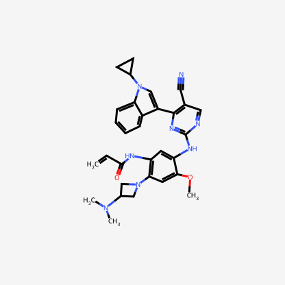 C=CC(=O)Nc1cc(Nc2ncc(C#N)c(-c3cn(C4CC4)c4ccccc34)n2)c(OC)cc1N1CC(N(C)C)C1